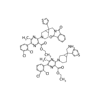 CCOC(=O)c1nc(-c2cccc(Cl)c2Cl)c(C)nc1N1CCC2C(C1)C2(CN)c1ccsc1.CCOC(=O)c1nc(-c2cccc(Cl)c2Cl)c(C)nc1N1CCC2C(C1)C2(CN1C(=O)c2ccccc2C1=O)c1ccsc1